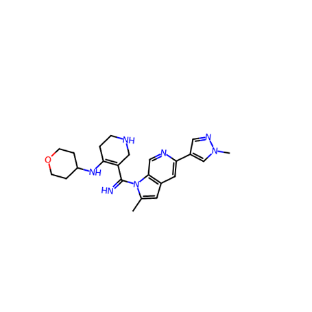 Cc1cc2cc(-c3cnn(C)c3)ncc2n1C(=N)C1=C(NC2CCOCC2)CCNC1